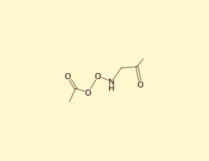 CC(=O)CNOOC(C)=O